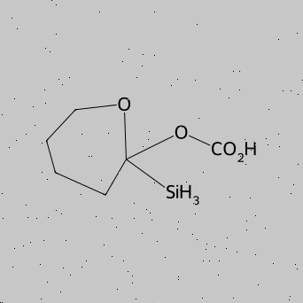 O=C(O)OC1([SiH3])CCCCO1